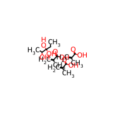 C=C(C)C(=O)O.C=C(C)C(=O)O.C=C(C)C(=O)O.CCC(O)(O)C(C)O